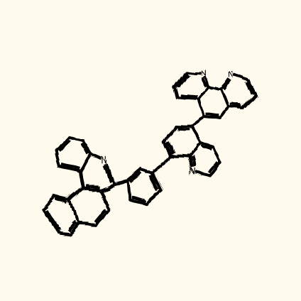 c1cc(-c2nc3ccccc3c3c2ccc2ccccc23)cc(-c2ccc(-c3cc4cccnc4c4ncccc34)c3cccnc23)c1